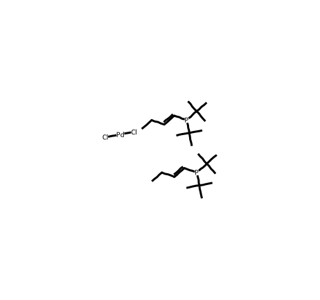 CCC=CP(C(C)(C)C)C(C)(C)C.CCC=CP(C(C)(C)C)C(C)(C)C.[Cl][Pd][Cl]